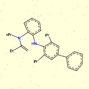 C=C(CC)N(CCC)c1ccccc1Nc1c(C(C)C)cc(-c2ccccc2)cc1C(C)C